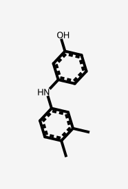 Cc1ccc(Nc2cccc(O)c2)cc1C